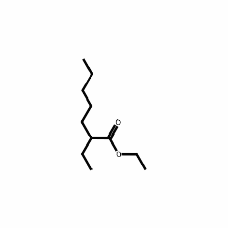 CCCCCC(CC)C(=O)OCC